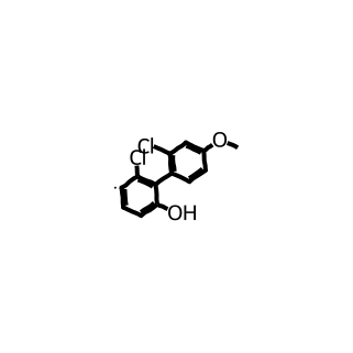 COc1ccc(-c2c(Cl)[c]ccc2O)c(Cl)c1